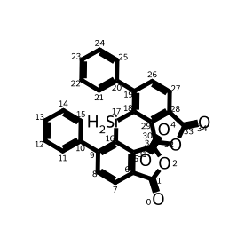 O=C1OC(=O)c2c1ccc(-c1ccccc1)c2[SiH2]c1c(-c2ccccc2)ccc2c1C(=O)OC2=O